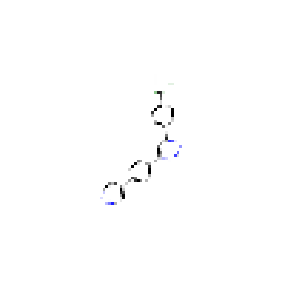 FC(F)(F)c1ccc(-c2cc(-c3ccc(-c4ccncc4)cc3)ncn2)cc1